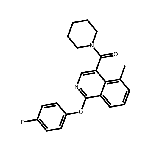 Cc1cccc2c(Oc3ccc(F)cc3)ncc(C(=O)N3CCCCC3)c12